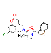 CC1(C(=O)N(CCCC(=O)O)Cc2cccc(Cl)c2)CCN1C(=O)c1csc2ccccc12